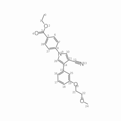 CCOC(=O)c1ccc(-n2cc(C#N)c(-c3cccc(OCCOC)c3)c2)cc1